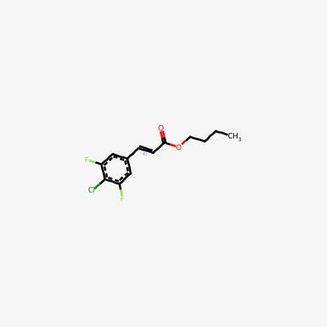 CCCCOC(=O)/C=C/c1cc(F)c(Cl)c(F)c1